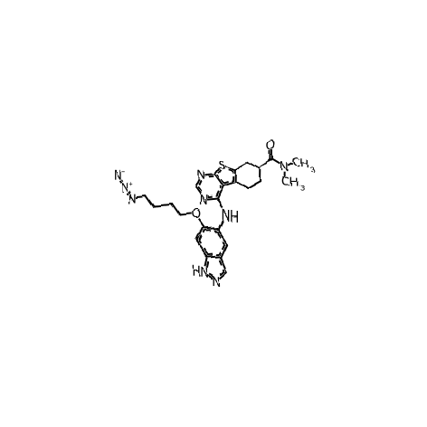 CN(C)C(=O)[C@H]1CCc2c(sc3ncnc(Nc4cc5cn[nH]c5cc4OCCCCN=[N+]=[N-])c23)C1